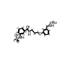 CCCCNCc1cccc(OCCCNC(=O)c2cccc(NS(C)(=O)=O)c2)c1